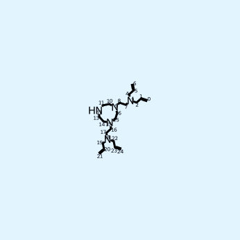 C=CCN(CC=C)CCN1CCNCCN(CCN(CC=C)CC=C)CC1